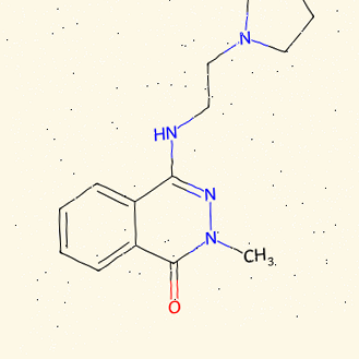 Cn1nc(NCCN2CCCC2)c2ccccc2c1=O